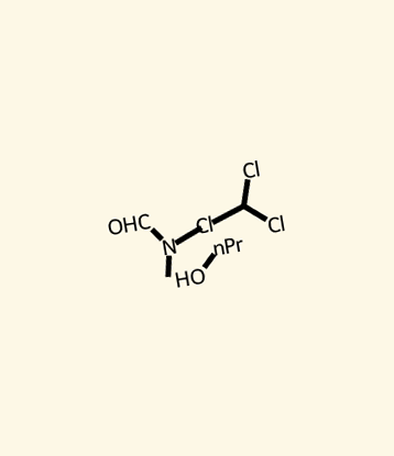 CCCO.CN(C)C=O.ClC(Cl)Cl